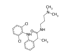 C[C@@H](C(=O)NCCCN(C)C)c1ccccc1Nc1c(Cl)cccc1Cl